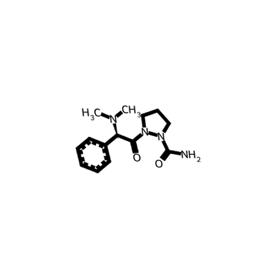 CN(C)[C@@H](C(=O)N1CCCN1C(N)=O)c1ccccc1